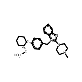 CN1CCN(c2nc3ccccc3n2Cc2ccc([C@H]3CCCC[C@H]3OC(=O)O)cc2)CC1